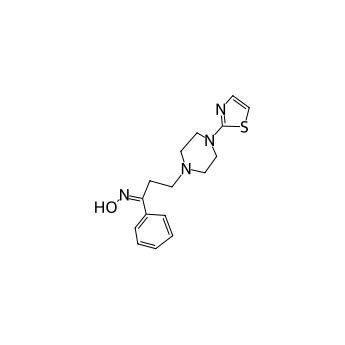 O/N=C(/CCN1CCN(c2nccs2)CC1)c1ccccc1